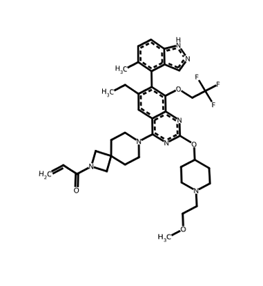 C=CC(=O)N1CC2(CCN(c3nc(OC4CCN(CCOC)CC4)nc4c(OCC(F)(F)F)c(-c5c(C)ccc6[nH]ncc56)c(CC)cc34)CC2)C1